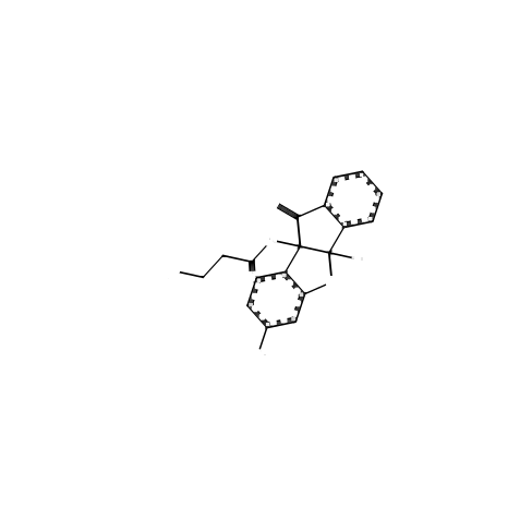 CC(C)c1ccc2c(c1)OC1(O)c3ccccc3C(=O)C21NC(=O)CCC(=O)O